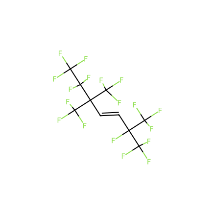 FC(F)(F)C(F)(F)C(C=CC(F)(C(F)(F)F)C(F)(F)F)(C(F)(F)F)C(F)(F)F